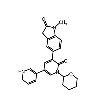 CN1C(=O)Cc2cc(-c3cc(C4=CNCC=C4)cn(C4CCCCO4)c3=O)ccc21